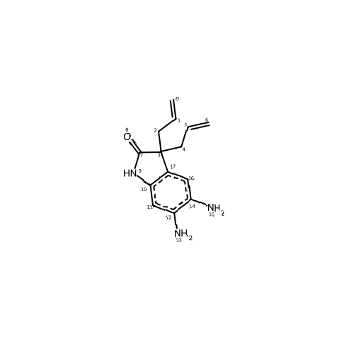 C=CCC1(CC=C)C(=O)Nc2cc(N)c(N)cc21